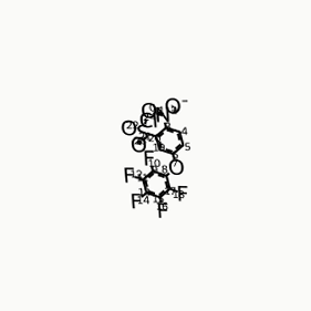 O=[N+]([O-])c1ccc(Oc2c(F)c(F)c(F)c(F)c2F)cc1S(=O)(=O)Cl